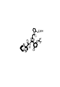 O=C(Nc1sc(CC(=O)N2CCC[C@H]2CO)nc1-c1cc(Cl)ccc1OC(F)F)c1cnn2cccnc12